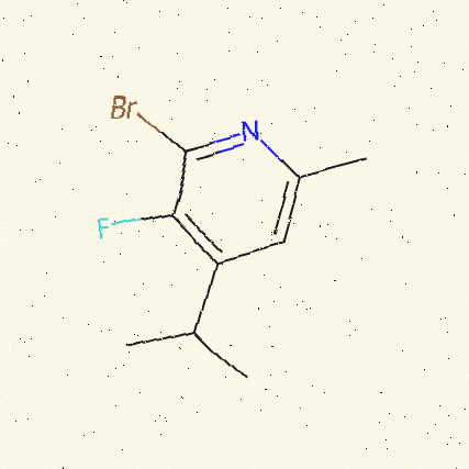 Cc1cc(C(C)C)c(F)c(Br)n1